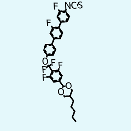 CCCCCC1COC(c2cc(F)c(C(F)(F)Oc3ccc(-c4ccc(-c5ccc(N=C=S)c(F)c5)c(F)c4)cc3)c(F)c2)OC1